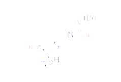 CC(C)(C)OC(=O)N1CCN(c2nc(=O)cn[nH]2)CC1